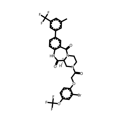 Cc1cc(-c2ccc3c(c2)C(=O)N2CCN(C(=O)COc4ccc(OC(F)(F)F)cc4Br)C[C@H]2C(=O)N3)cc(C(F)(F)F)c1